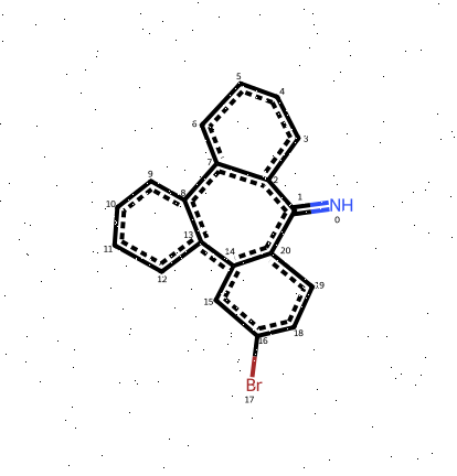 N=c1c2ccccc2c2ccccc2c2cc(Br)ccc12